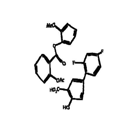 COc1ccccc1OC(=O)c1ccccc1OC(C)=O.O=C(O)c1cc(-c2ccc(F)cc2F)ccc1O